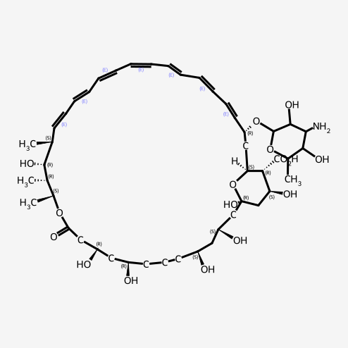 CC1OC(O[C@H]2/C=C/C=C/C=C/C=C/C=C/C=C/C=C/[C@H](C)[C@@H](O)[C@@H](C)[C@H](C)OC(=O)C[C@H](O)C[C@H](O)CCC[C@H](O)C[C@H](O)C[C@]3(O)C[C@H](O)[C@@H](C(=O)O)[C@H](C2)O3)C(O)C(N)C1O